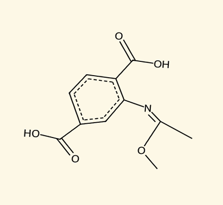 COC(C)=Nc1cc(C(=O)O)ccc1C(=O)O